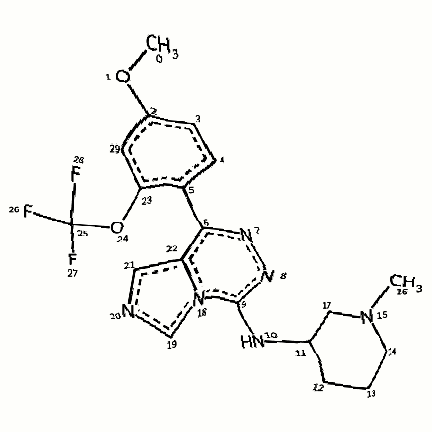 COc1ccc(-c2nnc(NC3CCCN(C)C3)n3cncc23)c(OC(F)(F)F)c1